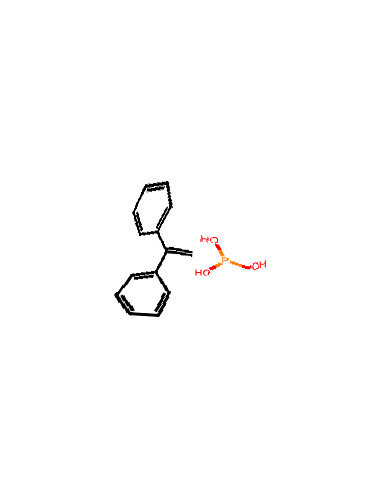 C=C(c1ccccc1)c1ccccc1.OP(O)O